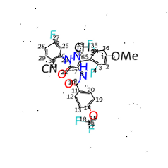 COc1cc(F)c(-c2c(NC(=O)c3ccc(OC(F)F)cc3)c(=O)n(-c3cc(F)ccc3C#N)n2C)c(F)c1